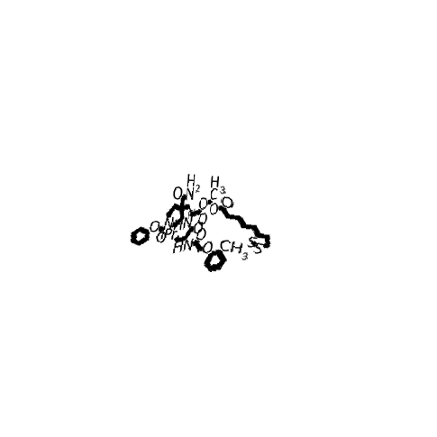 Cc1ccccc1OCC(=O)NC(CC(C)C)C(=O)N[C@@H](CC1(C(N)=O)CCN(C(=O)Oc2ccccc2)CC1)C(=O)OC(C)OC(=O)CCCCC1CCSS1